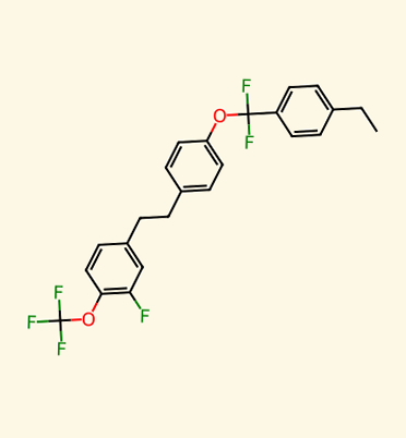 CCc1ccc(C(F)(F)Oc2ccc(CCc3ccc(OC(F)(F)F)c(F)c3)cc2)cc1